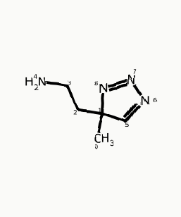 CC1(CCN)C=NN=N1